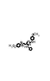 COc1ccc(Nc2ncc(C=CS(=O)(=O)c3ccc(OC)cc3)c(NC3CCCC3)n2)cc1